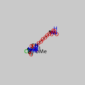 COc1nc(Nc2cc(S(C)(=O)=O)ccc2N[C@@H](c2cccc3c2OC(F)(F)O3)c2ncccc2Cl)nc(N2CCN(CCOCCOCCOCCOCCOCCOc3cccc4c3C(=O)N(C3CCC(=O)NC3=O)C4=O)CC2)n1